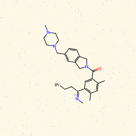 C/N=C(/CCC(C)C)c1cc(C(=O)N2Cc3ccc(CN4CCN(C)CC4)cc3C2)c(C)cc1C